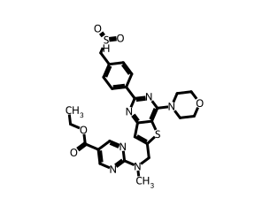 CCOC(=O)c1cnc(N(C)Cc2cc3nc(-c4ccc(C[SH](=O)=O)cc4)nc(N4CCOCC4)c3s2)nc1